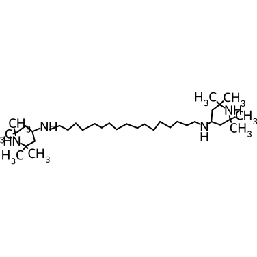 CC1(C)CC(NCCCCCCCCCCCCCCCCCCNC2CC(C)(C)NC(C)(C)C2)CC(C)(C)N1